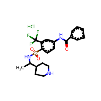 CC(NS(=O)(=O)c1ccc(NC(=O)c2ccccc2)cc1C(F)(F)F)C1CCNCC1.Cl